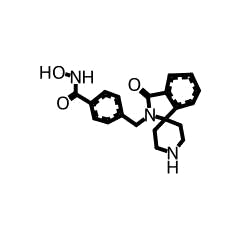 O=C(NO)c1ccc(CN2C(=O)c3ccccc3C23CCNCC3)cc1